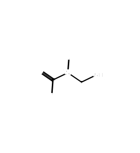 CC(=O)N(C)CN